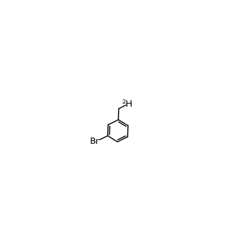 [2H]Cc1cccc(Br)c1